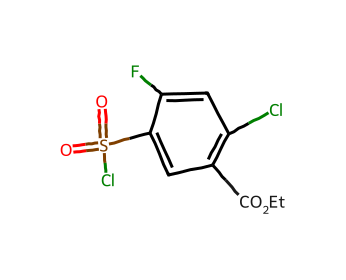 CCOC(=O)c1cc(S(=O)(=O)Cl)c(F)cc1Cl